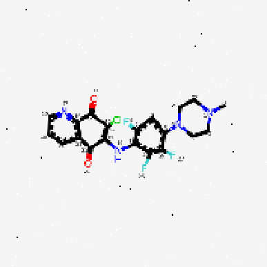 CN1CCN(c2cc(F)c(NC3=C(Cl)C(=O)c4ncccc4C3=O)c(F)c2F)CC1